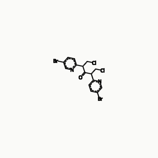 O=C(C(CCl)c1ccc(Br)cn1)C(CCl)c1ccc(Br)cn1